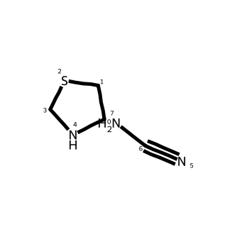 C1CSCN1.N#CN